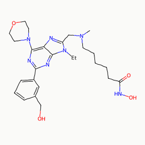 CCn1c(CN(C)CCCCCC(=O)NO)nc2c(N3CCOCC3)nc(-c3cccc(CO)c3)nc21